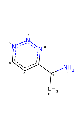 CC(N)c1ccnnn1